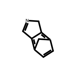 C1=CC2=C3CN=CC3=C1C2